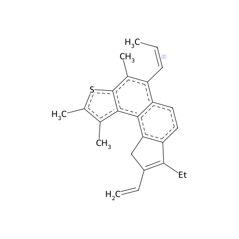 C=CC1=C(CC)c2ccc3c(/C=C\C)c(C)c4sc(C)c(C)c4c3c2C1